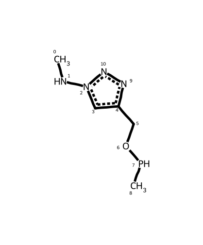 CNn1cc(COPC)nn1